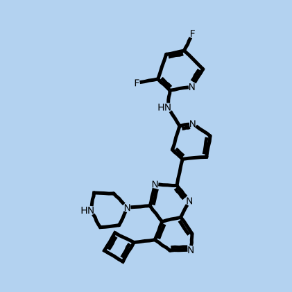 Fc1cnc(Nc2cc(-c3nc(N4CCNCC4)c4c(C5=CC=C5)cncc4n3)ccn2)c(F)c1